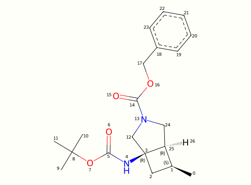 C[C@H]1C[C@]2(NC(=O)OC(C)(C)C)CN(C(=O)OCc3ccccc3)C[C@@H]12